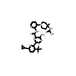 CC1(NC(=O)O)CCN(c2cccnc2NC(=O)c2nc(-c3nc(C4CC4)ccc3C(F)(F)F)cnc2N)CC1